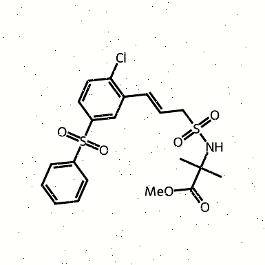 COC(=O)C(C)(C)NS(=O)(=O)CC=Cc1cc(S(=O)(=O)c2ccccc2)ccc1Cl